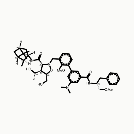 COC[C@@H](Cc1ccccc1)NC(=O)c1cc(-c2cccc(CN3O[C@@H](CO)[C@@H]([C@H](C)O)[C@H]3C(=O)N[C@H]3C[C@H]4C[C@@H]([C@@H]3C)C4(C)C)c2OC)cc(N(C)C)c1